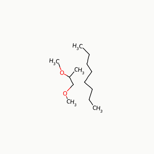 CCCCCCCC.COCC(C)OC